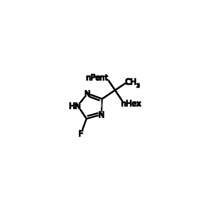 CCCCCCC(C)(CCCCC)c1n[nH]c(F)n1